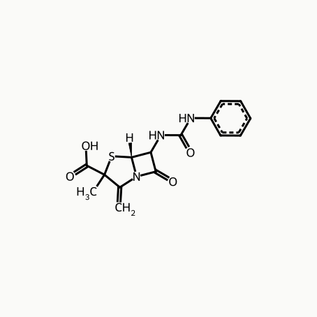 C=C1N2C(=O)C(NC(=O)Nc3ccccc3)[C@H]2SC1(C)C(=O)O